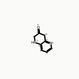 O=C1CNc2cccnc2C1